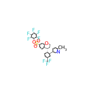 Cc1ccc(-c2cc(C(F)(F)F)ccc2[C@H]2CCOc3cc(S(=O)(=O)Oc4c(F)c(F)c(F)c(F)c4F)ccc32)cn1